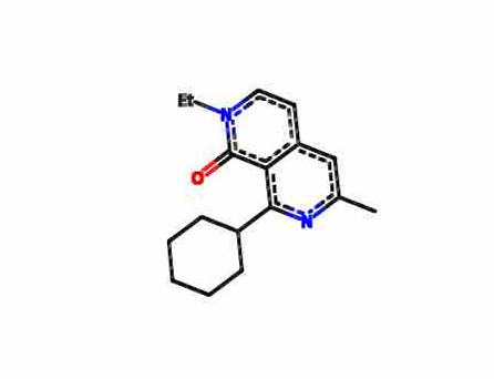 CCn1ccc2cc(C)nc(C3CCCCC3)c2c1=O